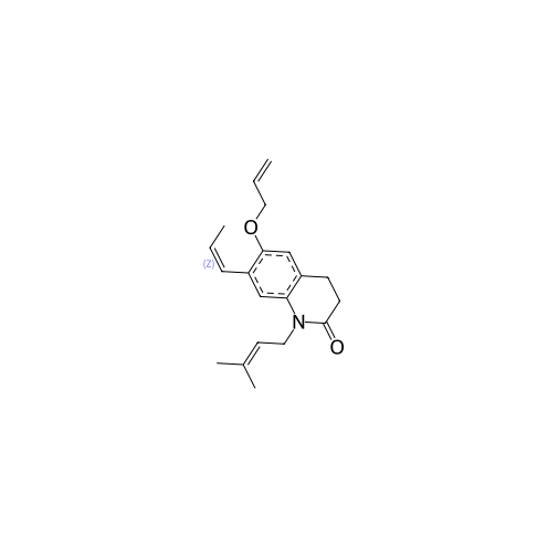 C=CCOc1cc2c(cc1/C=C\C)N(CC=C(C)C)C(=O)CC2